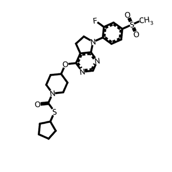 CS(=O)(=O)c1ccc(N2CCc3c(OC4CCN(C(=O)SC5CCCC5)CC4)ncnc32)c(F)c1